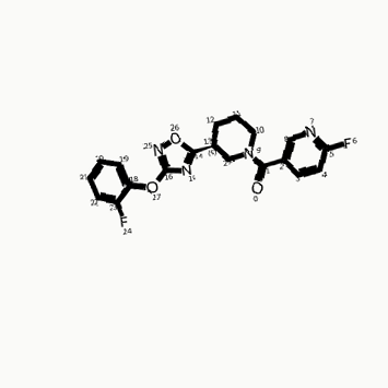 O=C(c1ccc(F)nc1)N1CCC[C@H](c2nc(Oc3ccccc3F)no2)C1